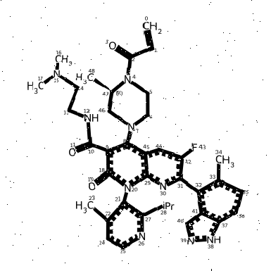 C=CC(=O)N1CCN(c2c(C(=O)NCCN(C)C)c(=O)n(-c3c(C)ccnc3C(C)C)c3nc(-c4c(C)ccc5[nH]ncc45)c(F)cc23)C[C@H]1C